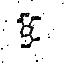 COC(=O)c1ccc(NC=O)c(OC)c1